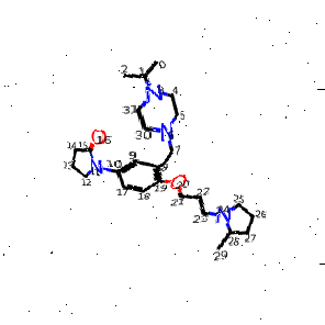 CC(C)N1CCN(Cc2cc(N3CCCC3=O)ccc2OCCCN2CCCC2C)CC1